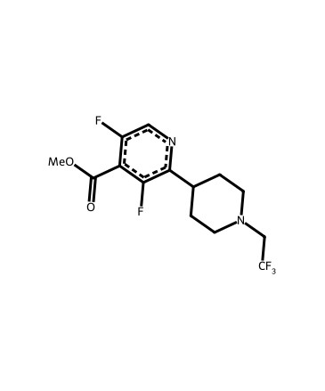 COC(=O)c1c(F)cnc(C2CCN(CC(F)(F)F)CC2)c1F